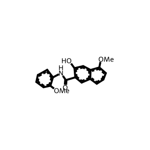 COc1ccccc1NC(=O)c1cc2cccc(OC)c2cc1O